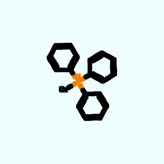 [Os][PH](c1ccccc1)(c1ccccc1)c1ccccc1